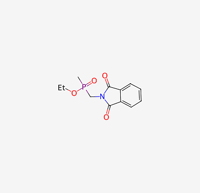 CCOP(C)(=O)CN1C(=O)c2ccccc2C1=O